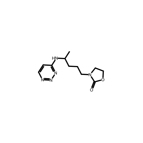 CC(CCCN1CCOC1=O)Nc1ccnnn1